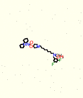 CN(CCCCCCCCCN1CCC(OC(=O)Nc2ccccc2-c2ccccc2)CC1)Cc1cc(F)cc(F)c1O